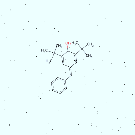 CC(C)(C)C1=CC(=Cc2ccccc2)C=C(C(C)(C)C)C1O